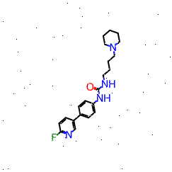 O=C(NCCCCN1CCCCC1)Nc1ccc(-c2ccc(F)nc2)cc1